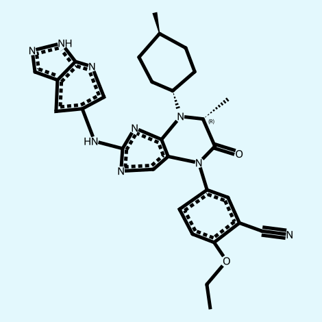 CCOc1ccc(N2C(=O)[C@@H](C)N([C@H]3CC[C@H](C)CC3)c3nc(Nc4cnc5[nH]ncc5c4)ncc32)cc1C#N